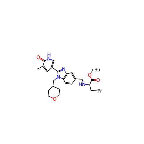 CCCCOC(=O)C(CC(C)C)NCc1ccc2c(c1)nc(-c1c[nH]c(=O)c(C)c1)n2CC1CCOCC1